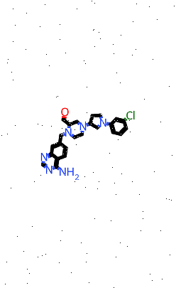 Nc1ncnc2cc(CN3CCN(C4CCN(c5cccc(Cl)c5)C4)CC3C=O)ccc12